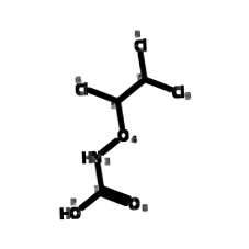 O=C(O)NOC(Cl)C(Cl)Cl